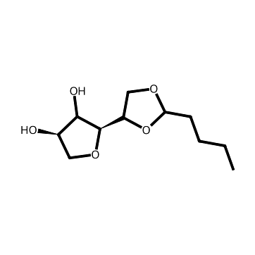 CCCCC1OCC([C@H]2OC[C@@H](O)C2O)O1